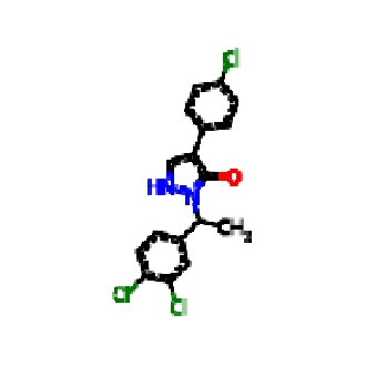 CC(c1ccc(Cl)c(Cl)c1)n1[nH]cc(-c2ccc(Cl)cc2)c1=O